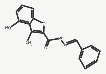 Cc1c(C(=O)N/N=C/c2ccccc2)oc2cccc(O)c12